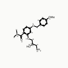 COc1ccc(COc2ccc(C(=O)N(C)C)c(OC[C@H](O)CN)c2)cc1